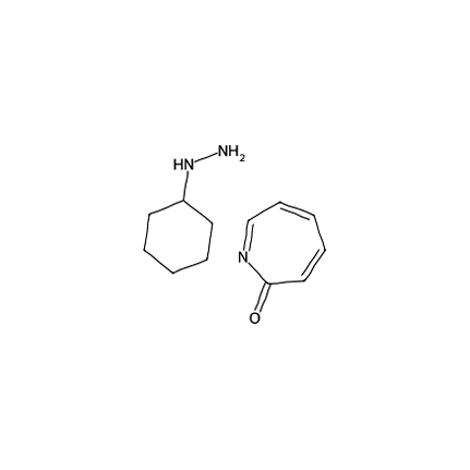 NNC1CCCCC1.O=c1cccccn1